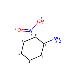 NC1CCCCC1.O=NO